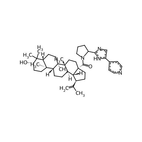 C=C(C)[C@@H]1CC[C@]2(C(=O)N3CCCC3c3ncc(-c4ccncc4)[nH]3)CC[C@]3(C)[C@H](CC[C@@H]4[C@@]5(C)CC[C@H](O)C(C)(C)[C@@H]5CC[C@]43C)[C@@H]12